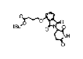 CC(C)(C)OC(=O)CCCOc1cccc2c1C(=O)N(C1CCC(=O)NC1=O)C2=O